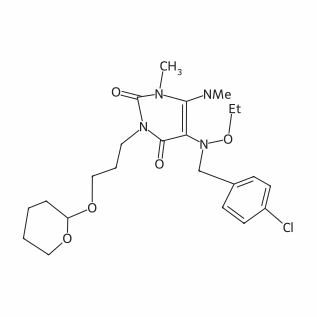 CCON(Cc1ccc(Cl)cc1)c1c(NC)n(C)c(=O)n(CCCOC2CCCCO2)c1=O